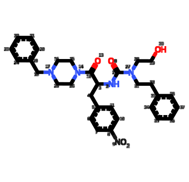 O=C(NC(Cc1ccc([N+](=O)[O-])cc1)C(=O)N1CCN(Cc2ccccc2)CC1)N(CCO)CCc1ccccc1